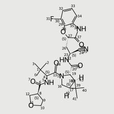 CC(C)(C)[C@H](NC(=O)[C@H]1CCOC1)C(=O)N1C[C@H]2[C@@H]([C@H]1C(=O)N[C@H](C#N)C[C@@H]1Oc3c(F)cccc3NC1=O)C2(C)C